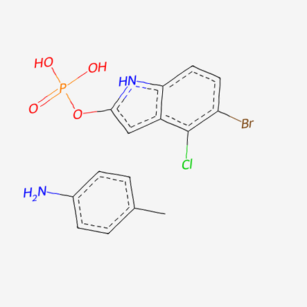 Cc1ccc(N)cc1.O=P(O)(O)Oc1cc2c(Cl)c(Br)ccc2[nH]1